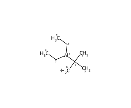 [CH2][C](C)(C)[Al]([CH2]C)[CH2]C